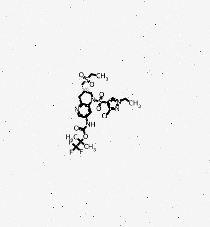 CCn1cc(S(=O)(=O)N2C[C@@H](CS(=O)(=O)CC)Cc3ncc(NC(=O)OC(C)(C)C(F)(F)F)cc32)c(Cl)n1